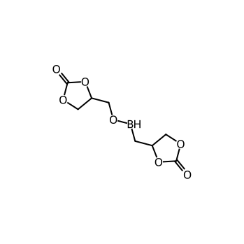 O=C1OCC(CBOCC2COC(=O)O2)O1